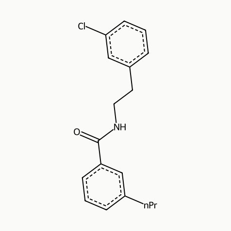 CCCc1cccc(C(=O)NCCc2cccc(Cl)c2)c1